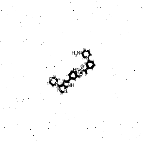 CC(c1cccc(N2CCC[C@@H](N)C2)c1)S(=O)(=O)Nc1ccc(-c2cc3c(N4CCOCC4)ncnc3[nH]2)cc1F